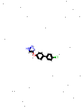 Clc1ccc(-c2ccc(Oc3c[nH]nn3)cc2)cc1